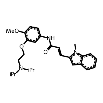 COc1ccc(NC(=O)C=Cc2cc3ccccc3n2C)cc1OCCN(C(C)C)C(C)C